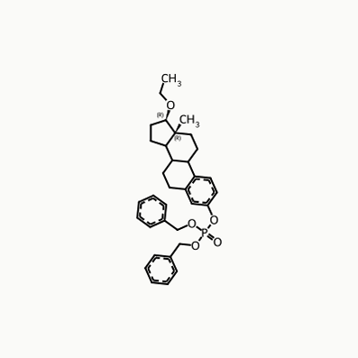 CCO[C@@H]1CCC2C3CCc4cc(OP(=O)(OCc5ccccc5)OCc5ccccc5)ccc4C3CC[C@]21C